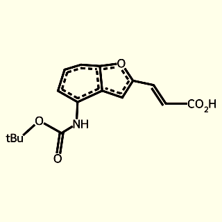 CC(C)(C)OC(=O)Nc1cccc2oc(C=CC(=O)O)cc12